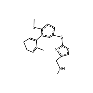 CNCc1ccc(Sc2ccc(SC)c(C3=CCCC=C3C)c2)s1